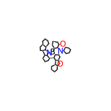 c1ccc2c(c1)Oc1cccc3c1N2c1cc2oc4ccccc4c2c2c1B3n1c3c-2cccc3c2ccc3ccccc3c21